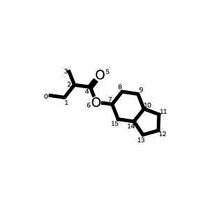 CCC(C)C(=O)OC1CCC2CCCC2C1